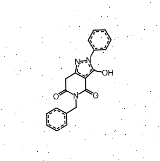 O=C1Cc2nn(-c3ccccc3)c(O)c2C(=O)N1Cc1ccccc1